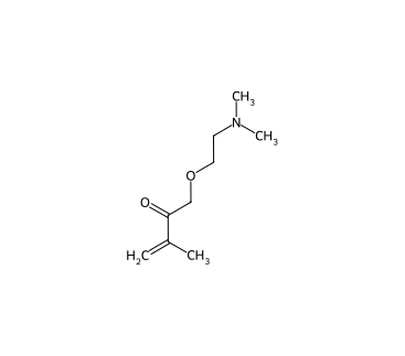 C=C(C)C(=O)COCCN(C)C